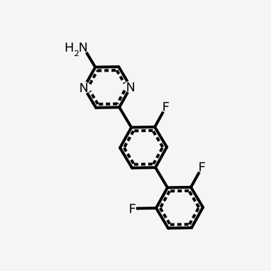 Nc1cnc(-c2ccc(-c3c(F)cccc3F)cc2F)cn1